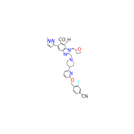 Cn1ccc(-c2cc3nc(CN4CCC(c5cccc(OCc6ccc(C#N)cc6F)n5)CC4)n(C[C@@H]4CCO4)c3cc2C(=O)O)n1